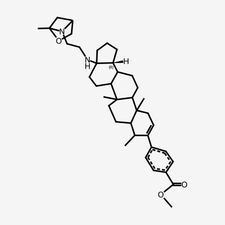 COC(=O)c1ccc(C2=CCC3(C)C(CCC4(C)C5CCC6(NCCN7C8COC7(C)C8)CCC[C@@H]6C5CCC34)C2C)cc1